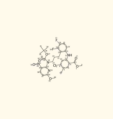 COC(=O)c1cc(F)c(Cl)cc1Nc1ccc(F)c(F)c1CCCN(C(=O)OC(C)(C)C)c1nc(OC)ccc1[N+](=O)[O-]